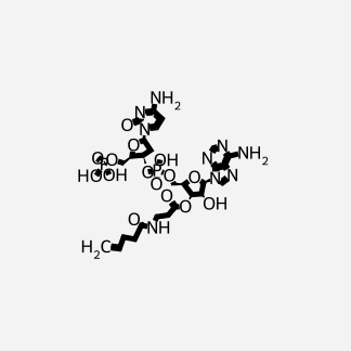 C=CCCC(=O)NCCC(=O)O[C@H]1[C@@H](O)[C@H](n2cnc3c(N)ncnc32)O[C@@H]1COP(=O)(O)O[C@H]1C[C@H](n2ccc(N)nc2=O)O[C@@H]1COP(=O)(O)O